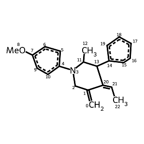 C=C1CN(c2ccc(OC)cc2)C(C)C(c2ccccc2)/C1=C/C